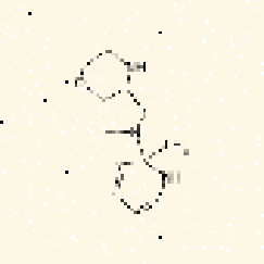 CC1(N2CC3NCCOC3C2)[C]=CC=CN1